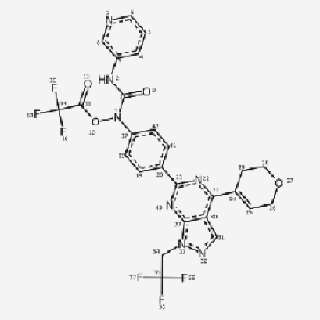 O=C(Nc1cccnc1)N(OC(=O)C(F)(F)F)c1ccc(-c2nc(C3=CCOCC3)c3cnn(CC(F)(F)F)c3n2)cc1